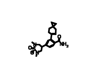 CN1CC(c2ccc(C(N)=O)c(C3=CCC4(CC3)CC4)c2)CN(C)S1(=O)=O